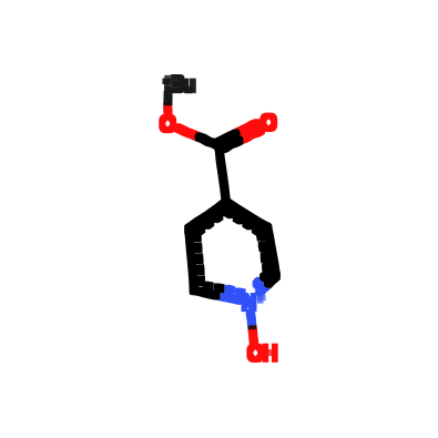 CC(C)(C)OC(=O)c1cc[n+](O)cc1